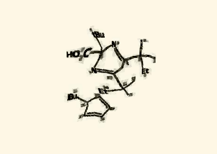 CCC(C)(C)C1=NC(C(=O)O)(C(C)(C)C)N=C1C(C)(C)CC.CCC(C)C1C=CC=C1